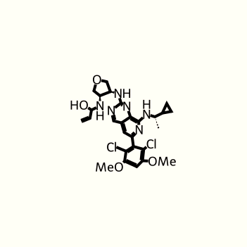 C=CC(O)N[C@H]1COC[C@H]1Nc1ncc2cc(-c3c(Cl)c(OC)cc(OC)c3Cl)nc(N[C@@H](C)C3CC3)c2n1